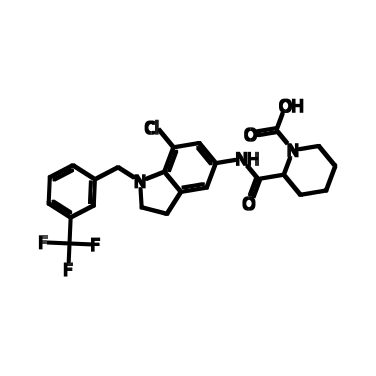 O=C(Nc1cc(Cl)c2c(c1)CCN2Cc1cccc(C(F)(F)F)c1)C1CCCCN1C(=O)O